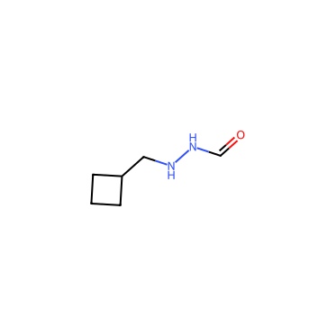 O=CNNCC1CCC1